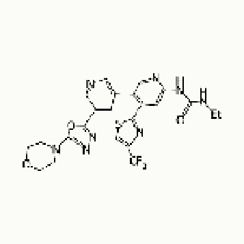 CCNC(=O)Nc1cc(-c2nc(C(F)(F)F)cs2)c(-c2cncc(-c3nnc(N4CCOCC4)o3)c2)cn1